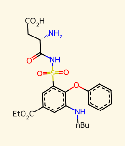 CCCCNc1cc(C(=O)OCC)cc(S(=O)(=O)NC(=O)[C@@H](N)CC(=O)O)c1Oc1ccccc1